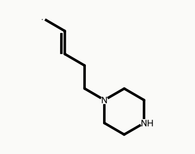 [CH2]/C=C/CCN1CCNCC1